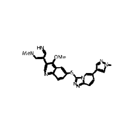 CN/C=C(\C=N)c1cnc2ccc(Sc3nnc4ccc(-c5cnn(C)c5)cn34)cc2c1OC